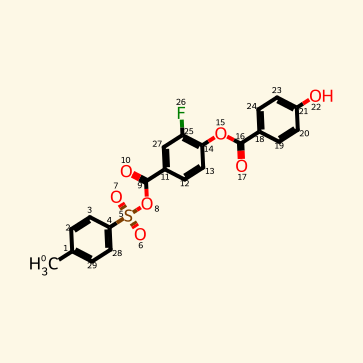 Cc1ccc(S(=O)(=O)OC(=O)c2ccc(OC(=O)c3ccc(O)cc3)c(F)c2)cc1